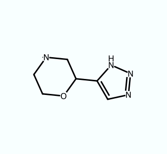 c1nn[nH]c1C1C[N]CCO1